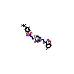 N#Cc1ccc(S(=O)(=O)NCCN2CC3CN(CCc4noc5ccccc45)CC(C2)O3)cc1